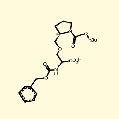 CC(C)(C)OC(=O)N1CCC[C@@H]1COCC(NC(=O)OCc1ccccc1)C(=O)O